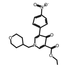 CCOC(=O)c1cn(CC2CCOCC2)cc(-c2ccc([N+](=O)[O-])cc2)c1=O